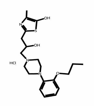 CCCOc1ccccc1N1CCN(CC(O)Cc2nc(C)c(O)s2)CC1.Cl